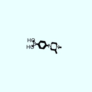 CC1CN(c2ccc(B(O)O)cc2)CCN1C